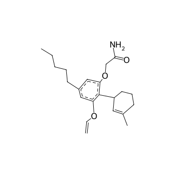 C=COc1cc(CCCCC)cc(OCC(N)=O)c1C1C=C(C)CCC1